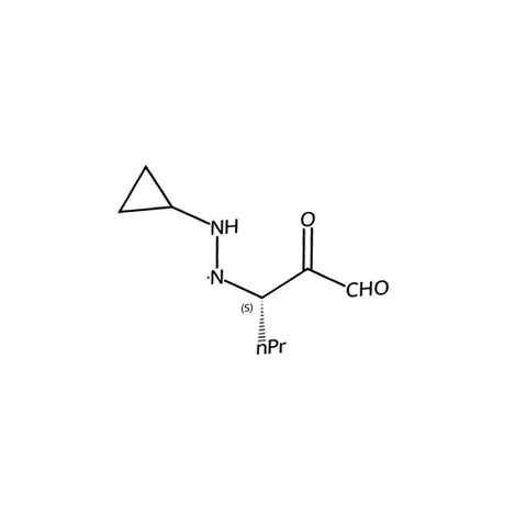 CCC[C@H]([N]NC1CC1)C(=O)C=O